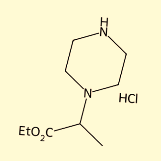 CCOC(=O)C(C)N1CCNCC1.Cl